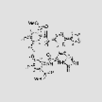 COC(=O)c1cc(F)c(OCCc2cc(NC(=O)c3ccc(-n4ccnc4)nn3)c(C(=O)OC)cc2F)cc1NC(=O)C1=NN2NNN=C2C=C1